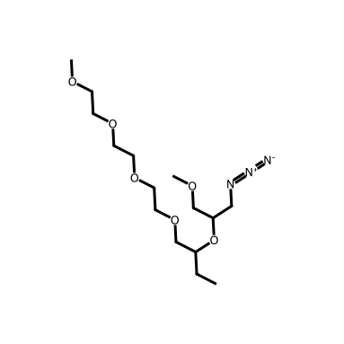 CCC(COCCOCCOCCOC)OC(CN=[N+]=[N-])COC